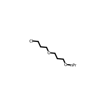 CCCOCCCOCCCCl